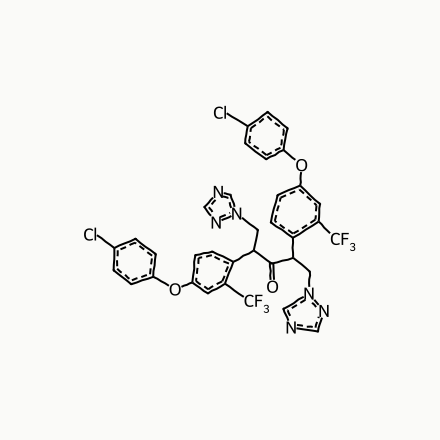 O=C(C(Cn1cncn1)c1ccc(Oc2ccc(Cl)cc2)cc1C(F)(F)F)C(Cn1cncn1)c1ccc(Oc2ccc(Cl)cc2)cc1C(F)(F)F